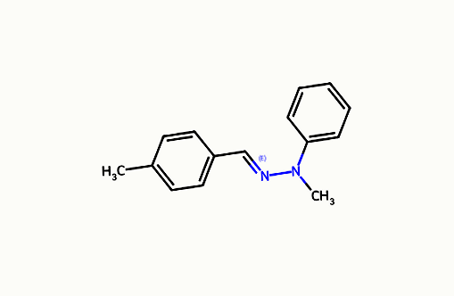 Cc1ccc(/C=N/N(C)c2ccccc2)cc1